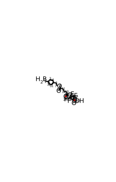 BCc1ccc(CCOC(=O)CCCC(=O)OC(CS(=O)(=O)O)(C(F)(F)F)C(F)(F)F)cc1